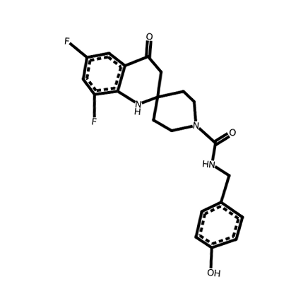 O=C1CC2(CCN(C(=O)NCc3ccc(O)cc3)CC2)Nc2c(F)cc(F)cc21